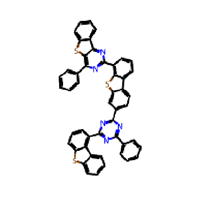 c1ccc(-c2nc(-c3ccc4c(c3)sc3c(-c5nc(-c6ccccc6)c6sc7ccccc7c6n5)cccc34)nc(-c3cccc4sc5ccccc5c34)n2)cc1